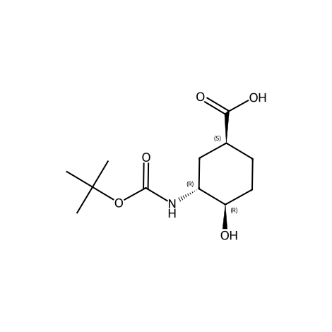 CC(C)(C)OC(=O)N[C@@H]1C[C@@H](C(=O)O)CC[C@H]1O